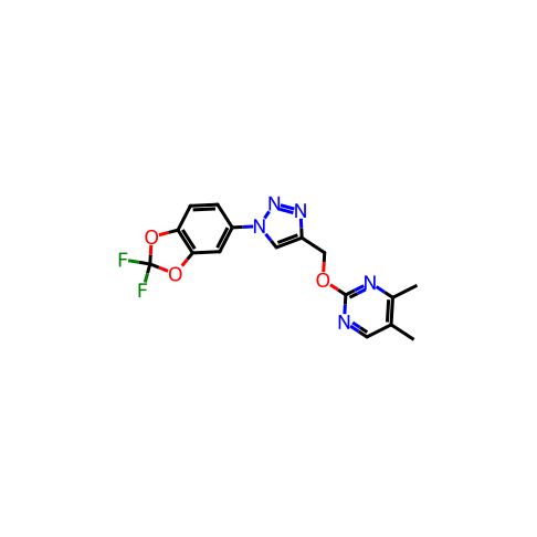 Cc1cnc(OCc2cn(-c3ccc4c(c3)OC(F)(F)O4)nn2)nc1C